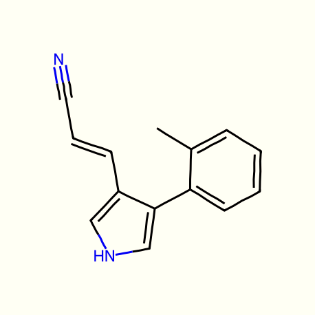 Cc1ccccc1-c1c[nH]cc1C=CC#N